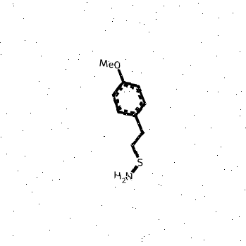 COc1ccc(CCSN)cc1